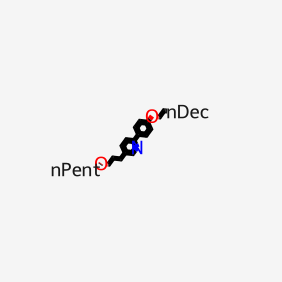 CCCCCCCCCCCCOc1ccc(-c2ccc(CCCOCCCCC)cn2)cc1